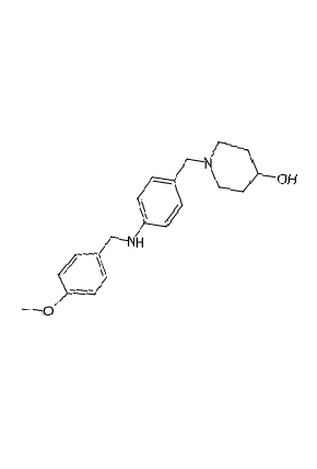 COc1ccc(CNc2ccc(CN3CCC(O)CC3)cc2)cc1